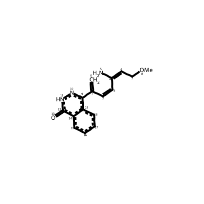 C=C(/C=C\C(N)=C/COC)c1n[nH]c(=O)c2ccccc12